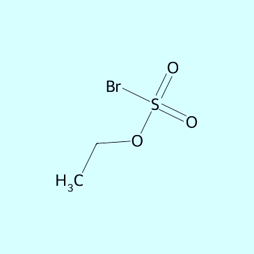 CCOS(=O)(=O)Br